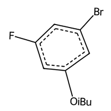 CC(C)COc1cc(F)cc(Br)c1